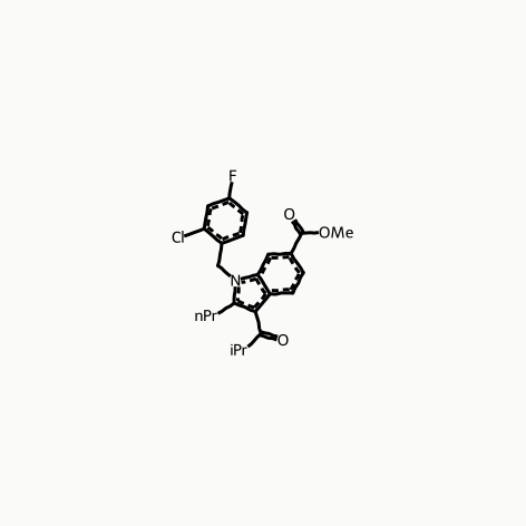 CCCc1c(C(=O)C(C)C)c2ccc(C(=O)OC)cc2n1Cc1ccc(F)cc1Cl